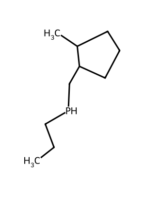 CCCPCC1CCCC1C